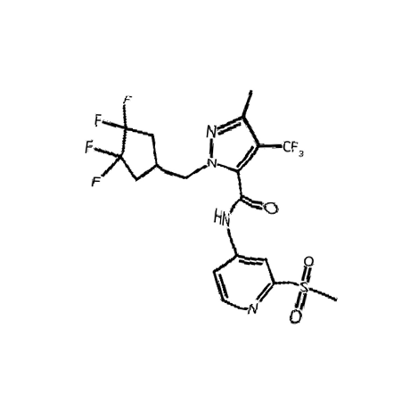 Cc1nn(CC2CC(F)(F)C(F)(F)C2)c(C(=O)Nc2ccnc(S(C)(=O)=O)c2)c1C(F)(F)F